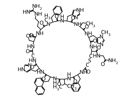 CCC1NC(=O)C(Cc2c[nH]cn2)NC(=O)C(Cc2ccccc2)N(C)C(=O)C(CCCNC(=N)N)NC(=O)C(CO)NC(=O)CNC(=O)C(Cc2c[nH]cn2)NC(=O)C(Cc2cccc3ccccc23)NC(=O)C(C(C)C)NC(=O)C(Cc2ccccc2)NC(=O)CSCC(C(=O)NCC(N)=O)NC(=O)C(Cc2cncn2C)NC1=O